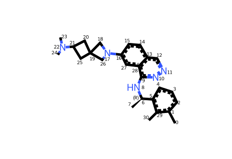 Cc1cccc([C@@H](C)Nc2nncc3ccc(N4CC5(CC(N(C)C)C5)C4)cc23)c1C